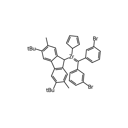 Cc1cc2c(cc1C(C)(C)C)-c1cc(C(C)(C)C)c(C)cc1[CH]2[Zr](=[C](c1cccc(Br)c1)c1cccc(Br)c1)[CH]1C=CC=C1